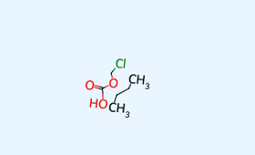 CCCC.O=C(O)OCCl